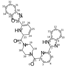 O=C(c1cccc(-c2nc3ccccc3[nH]2)n1)N1CCN(C(=O)C2C=CC=C(c3nc4ccccc4o3)N2)CC1